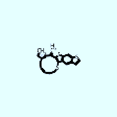 C=C/C1=C/C(=C)c2sc3cc4sccc4cc3c2SCCC=CC1